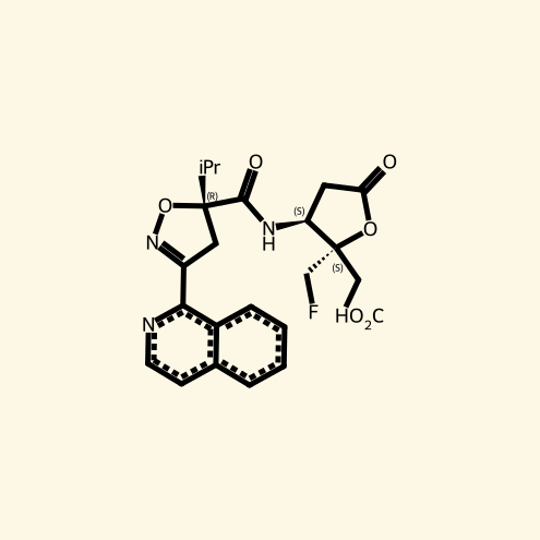 CC(C)[C@@]1(C(=O)N[C@H]2CC(=O)O[C@@]2(CF)CC(=O)O)CC(c2nccc3ccccc23)=NO1